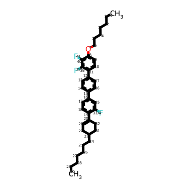 CCCCCCCOc1ccc(-c2ccc(-c3ccc(C4=CCC(CCCCCCC)CC4)c(F)c3)cc2)c(F)c1F